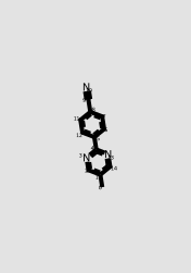 Cc1cnc(-c2ccc(C#N)cc2)nc1